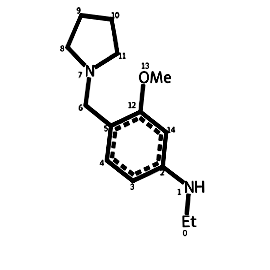 CCNc1ccc(CN2CCCC2)c(OC)c1